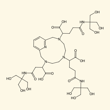 O=C(CCC(C(=O)O)N1CCN(C(CCC(=O)NC(CO)(CO)CO)C(=O)O)Cc2cccc(n2)CN(C(CC(=O)NC(CO)(CO)CO)C(=O)O)CC1)NC(CO)(CO)CO